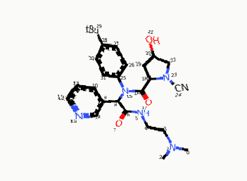 CN(C)CCNC(=O)C(c1cccnc1)N(C(=O)C1CC(O)CN1C#N)c1ccc(C(C)(C)C)cc1